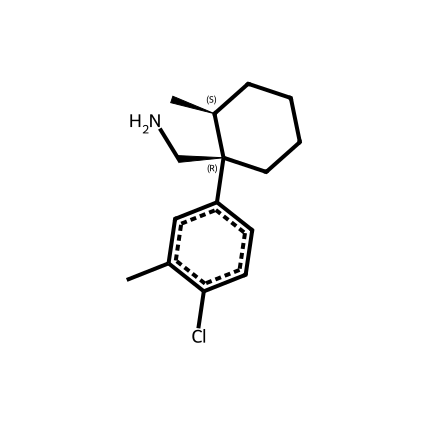 Cc1cc([C@@]2(CN)CCCC[C@@H]2C)ccc1Cl